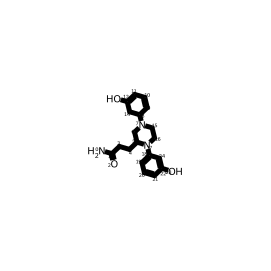 NC(=O)CCC1CN(C2C=CC=C(O)C2)CCN1c1cccc(O)c1